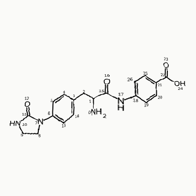 NC(Cc1ccc(N2CCNC2=O)cc1)C(=O)Nc1ccc(C(=O)O)cc1